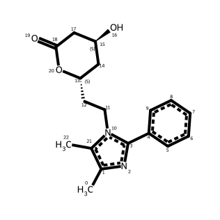 Cc1nc(-c2ccccc2)n(CC[C@H]2C[C@H](O)CC(=O)O2)c1C